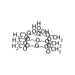 C=CC(=O)OCCCOCCCOC(=O)C=C.C=CC(=O)OCCCOCCCOC(=O)C=C.C=CC(=O)OCCCOCCCOC(=O)C=C.OCC(O)CO